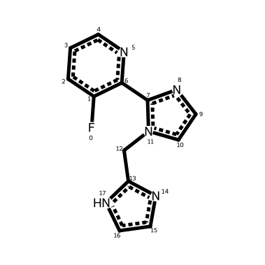 Fc1cccnc1-c1nccn1Cc1ncc[nH]1